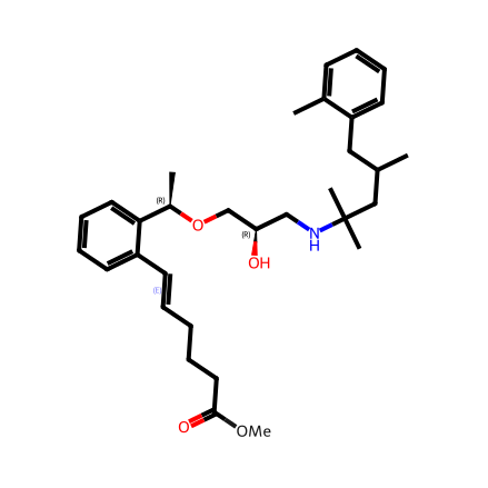 COC(=O)CCC/C=C/c1ccccc1[C@@H](C)OC[C@H](O)CNC(C)(C)CC(C)Cc1ccccc1C